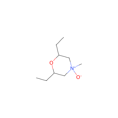 CCC1C[N+](C)([O-])CC(CC)O1